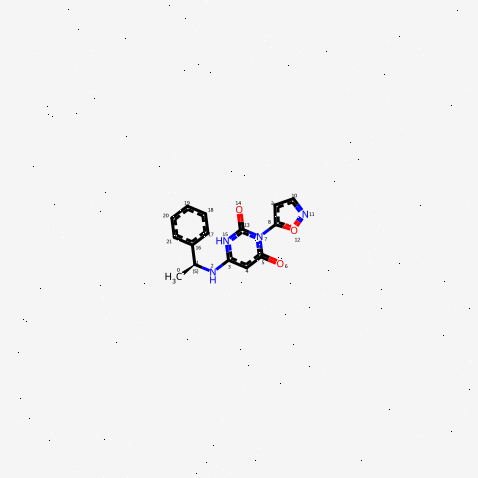 C[C@H](Nc1cc(=O)n(-c2ccno2)c(=O)[nH]1)c1ccccc1